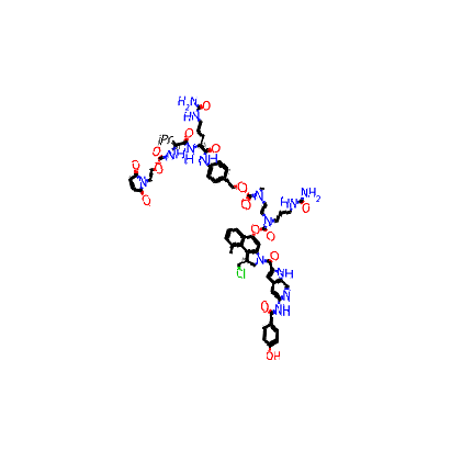 Cc1cccc2c(OC(=O)N(CCCNC(N)=O)CCN(C)C(=O)OCc3ccc(NC(=O)[C@H](CCCNC(N)=O)NC(=O)[C@@H](NC(=O)OCCN4C(=O)C=CC4=O)C(C)C)cc3)cc3c(c12)[C@H](CCl)CN3C(=O)c1cc2cc(NC(=O)c3ccc(O)cc3)ncc2[nH]1